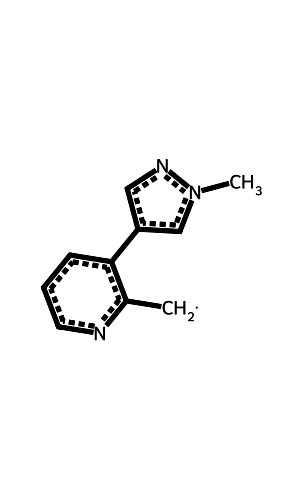 [CH2]c1ncccc1-c1cnn(C)c1